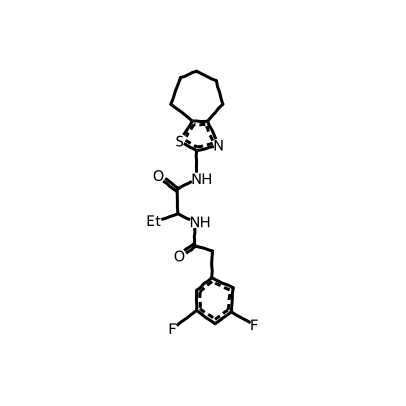 CCC(NC(=O)Cc1cc(F)cc(F)c1)C(=O)Nc1nc2c(s1)CCCCC2